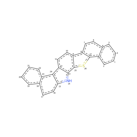 c1ccc2c(c1)ccc1c3ccc4c([nH]c5ccc6ccccc6c54)c3sc21